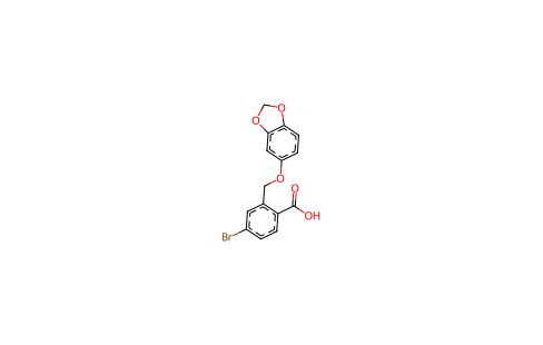 O=C(O)c1ccc(Br)cc1COc1ccc2c(c1)OCO2